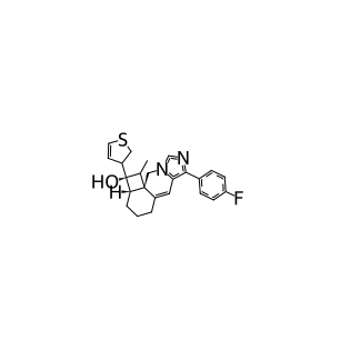 CC1[C@@](O)(C2C=CSC2)[C@H]2CCCC3=Cc4c(-c5ccc(F)cc5)ncn4C[C@]312